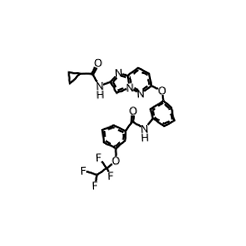 O=C(Nc1cccc(Oc2ccc3nc(NC(=O)C4CC4)cn3n2)c1)c1cccc(OC(F)(F)C(F)F)c1